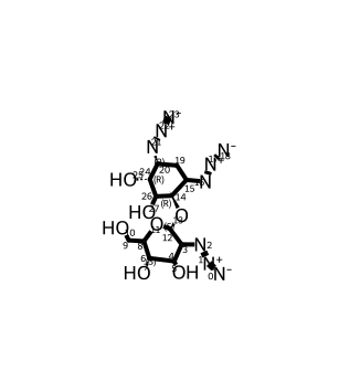 [N-]=[N+]=NC1C(O)[C@H](O)C(CO)O[C@@H]1O[C@@H]1C(N=[N+]=[N-])C[C@@H](N=[N+]=[N-])[C@@H](O)C1O